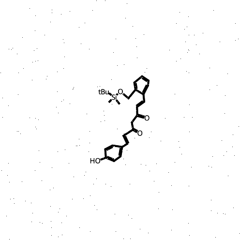 CC(C)(C)[Si](C)(C)OCc1ccccc1/C=C/C(=O)CC(=O)/C=C/c1ccc(O)cc1